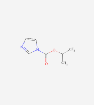 CC(OC(=O)n1ccnc1)C(F)(F)F